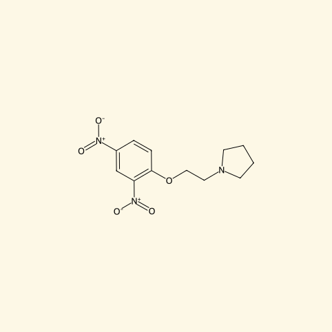 O=[N+]([O-])c1ccc(OCCN2CCCC2)c([N+](=O)[O-])c1